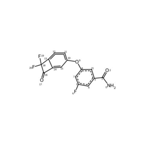 NC(=O)c1cc(F)cc(OC2=C=C=C3C(=C2)C(=O)C3(F)F)c1